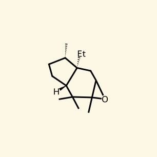 CC[C@]12CC3OC3(C)C(C)(C)[C@@H]1CC[C@@H]2C